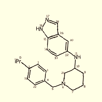 CC(C)c1ccc(CN2CCCC(Nc3ccc4[nH]ncc4c3)C2)cc1